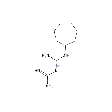 N=C(N)/N=C(\N)NC1CCCCCC1